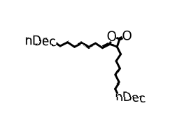 CCCCCCCCCCCCCCCCC=C1OC(=O)C1CCCCCCCCCCCCCCCC